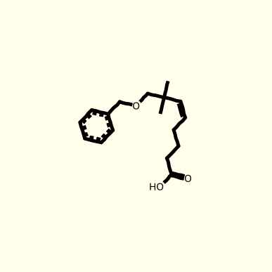 CC(C)(/C=C\CCCC(=O)O)COCc1ccccc1